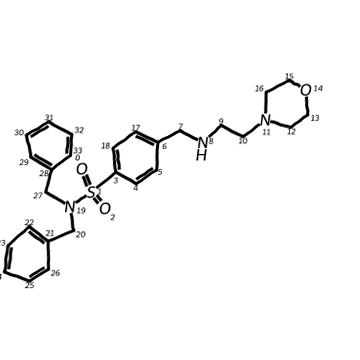 O=S(=O)(c1ccc(CNCCN2CCOCC2)cc1)N(Cc1ccccc1)Cc1ccccc1